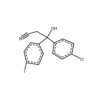 N#CCC(O)(c1ccc(Cl)cc1)c1ccc(I)cc1